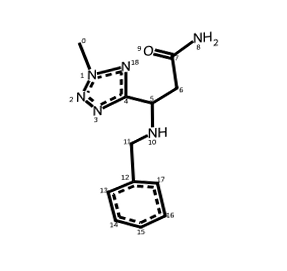 Cn1nnc(C(CC(N)=O)NCc2ccccc2)n1